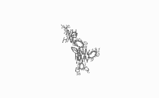 COc1cc(Nc2nc3ccccc3nc2N(c2cccc(NC(=O)CNCC(C)C)c2)[SH](=O)=O)cc(OC)c1